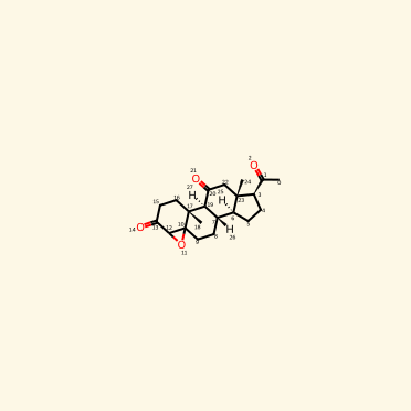 CC(=O)[C@H]1CC[C@H]2[C@@H]3CCC45OC4C(=O)CC[C@]5(C)[C@H]3C(=O)C[C@]12C